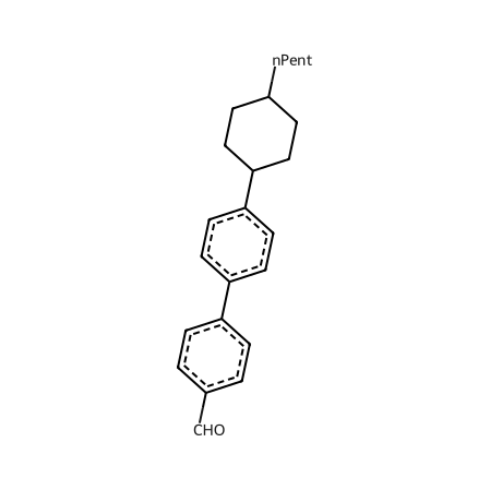 CCCCCC1CCC(c2ccc(-c3ccc(C=O)cc3)cc2)CC1